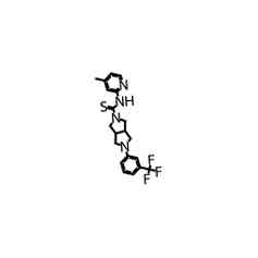 Cc1ccnc(NC(=S)N2CC3CN(c4cccc(C(F)(F)F)c4)CC3C2)c1